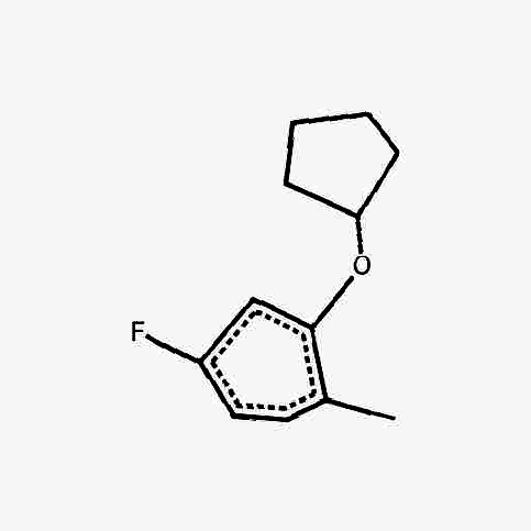 Cc1ccc(F)cc1OC1CCCC1